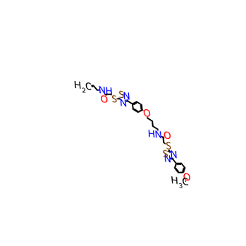 C=CCNC(=O)CSc1nc(-c2ccc(OCCCCNC(=O)CSc3nc(-c4ccc(OC)cc4)ns3)cc2)ns1